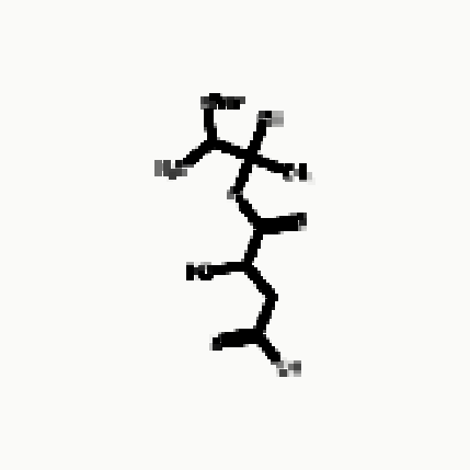 CCCCCC(C)C(C)(O)OC(=S)C(O)CC(O)=S